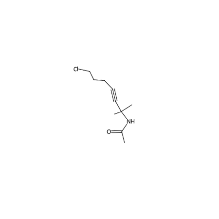 CC(=O)NC(C)(C)C#CCCCCl